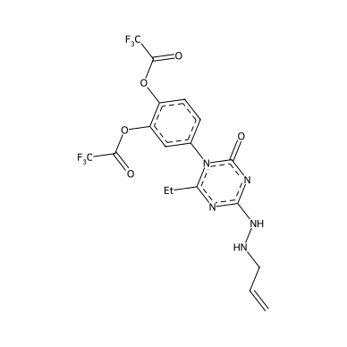 C=CCNNc1nc(CC)n(-c2ccc(OC(=O)C(F)(F)F)c(OC(=O)C(F)(F)F)c2)c(=O)n1